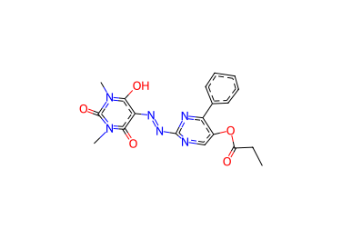 CCC(=O)Oc1cnc(N=Nc2c(O)n(C)c(=O)n(C)c2=O)nc1-c1ccccc1